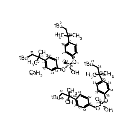 CC(C)(C)CC(C)(C)c1ccc(OP(=O)(O)Oc2ccc(C(C)(C)CC(C)(C)C)cc2)cc1.CC(C)(C)CC(C)(C)c1ccc(OP(=O)(O)Oc2ccc(C(C)(C)CC(C)(C)C)cc2)cc1.[CaH2]